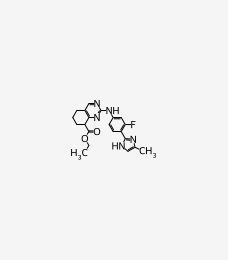 CCOC(=O)C1CCCc2cnc(Nc3ccc(-c4nc(C)c[nH]4)c(F)c3)nc21